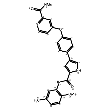 CNC(=O)c1cc(Oc2ccc(-c3c[nH]c(C(=O)Nc4cc(C(F)(F)F)ccc4OC)c3)cc2)ccn1